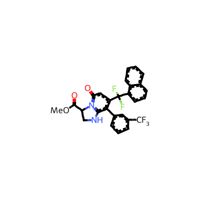 COC(=O)C1CNc2c(-c3cccc(C(F)(F)F)c3)c(C(F)(F)c3cccc4ccccc34)cc(=O)n21